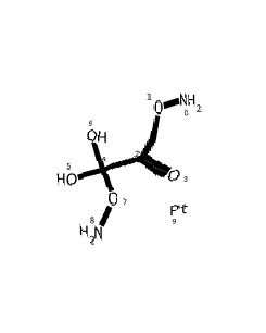 NOC(=O)C(O)(O)ON.[Pt]